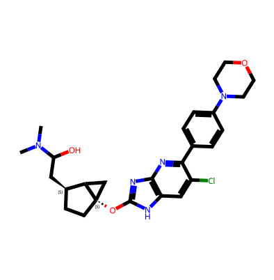 CN(C)C(O)C[C@@H]1CC[C@]2(Oc3nc4nc(-c5ccc(N6CCOCC6)cc5)c(Cl)cc4[nH]3)CC12